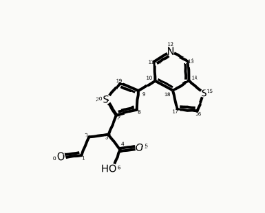 O=CCC(C(=O)O)c1cc(-c2cncc3sccc23)cs1